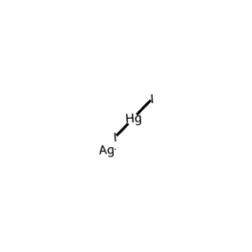 [Ag].[I][Hg][I]